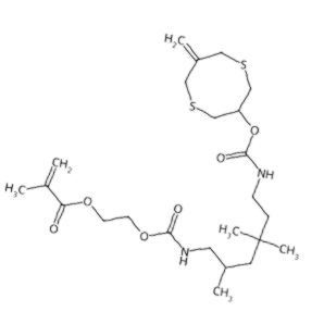 C=C1CSCC(OC(=O)NCCC(C)(C)CC(C)CNC(=O)OCCOC(=O)C(=C)C)CSC1